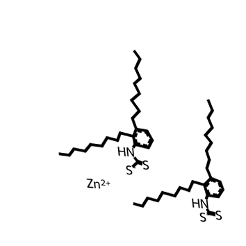 CCCCCCCCCc1cccc(NC(=S)[S-])c1CCCCCCCCC.CCCCCCCCCc1cccc(NC(=S)[S-])c1CCCCCCCCC.[Zn+2]